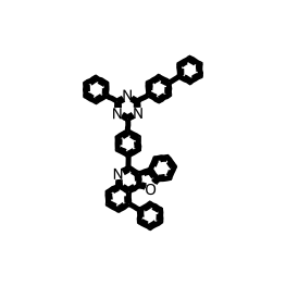 c1ccc(-c2ccc(-c3nc(-c4ccccc4)nc(-c4ccc(-c5nc6cccc(-c7ccccc7)c6c6oc7ccccc7c56)cc4)n3)cc2)cc1